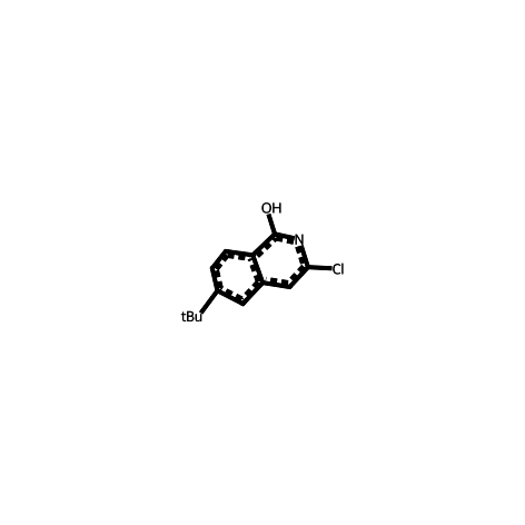 CC(C)(C)c1ccc2c(O)nc(Cl)cc2c1